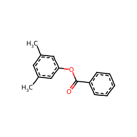 Cc1cc(C)cc(OC(=O)c2ccccc2)c1